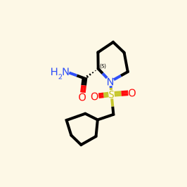 NC(=O)[C@@H]1CCCCN1S(=O)(=O)CC1CCCCC1